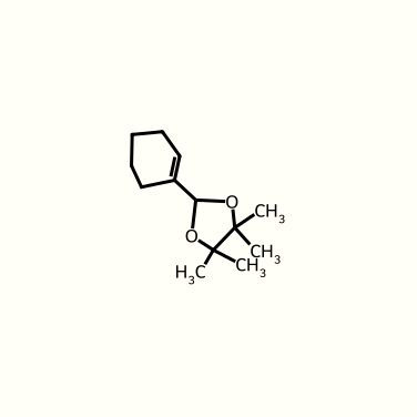 CC1(C)OC(C2=CCCCC2)OC1(C)C